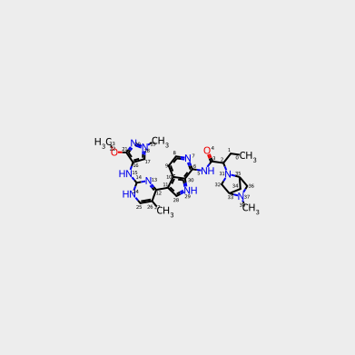 CCC(C(=O)Nc1nccc2c(C3=NC(Nc4cn(C)nc4OC)NC=C3C)c[nH]c12)N1CC2CC1CN2C